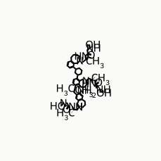 C[C@@H](CN1CCCc2cc(N)c(CC(C)(C)c3ccc(C4CCCC(c5cccc6c5CN(C[C@H](C)NC(=O)CNO)CCCC6)C4)c4c3CCCN(C[C@H](C)NC(=O)CNO)C4)cc2C1)NC(=O)/C=N\O